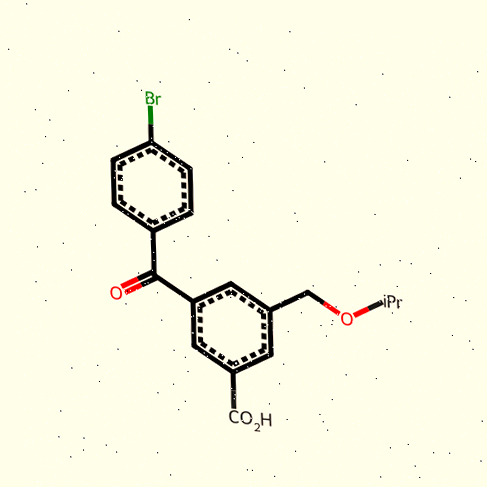 CC(C)OCc1cc(C(=O)O)cc(C(=O)c2ccc(Br)cc2)c1